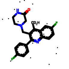 O=C1CN(Cc2c(-c3ccc(F)cc3)nc3ccc(F)cc3c2C(=O)O)CCN1